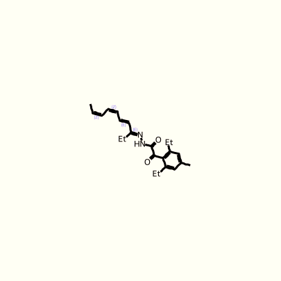 C\C=C/C=C\C=C\C(CC)=N\NC(=O)C(=O)c1c(CC)cc(C)cc1CC